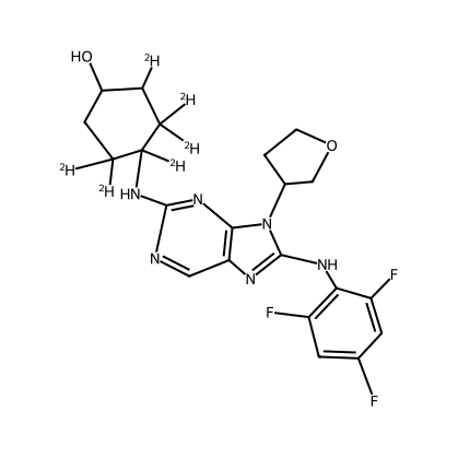 [2H]C1C(O)CC([2H])([2H])C([2H])(Nc2ncc3nc(Nc4c(F)cc(F)cc4F)n(C4CCOC4)c3n2)C1([2H])[2H]